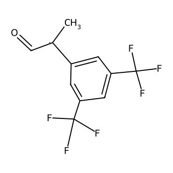 C[C](C=O)c1cc(C(F)(F)F)cc(C(F)(F)F)c1